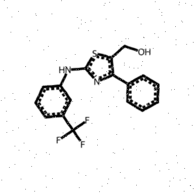 OCc1sc(Nc2cccc(C(F)(F)F)c2)nc1-c1ccccc1